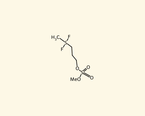 COS(=O)(=O)OCCCS(C)(F)F